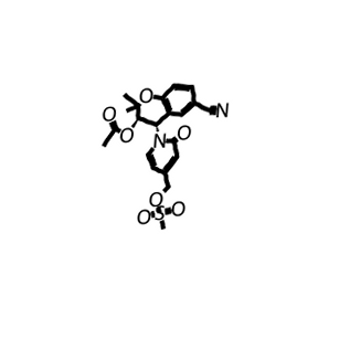 CC(=O)O[C@@H]1[C@@H](n2ccc(COS(C)(=O)=O)cc2=O)c2cc(C#N)ccc2OC1(C)C